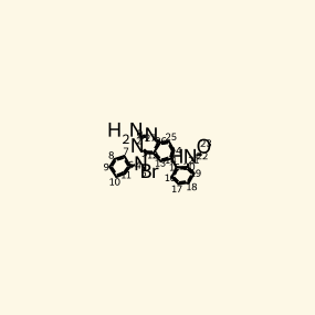 Nc1nc(N(Br)c2ccccc2)c2cc(-c3ccccc3NC=O)ccc2n1